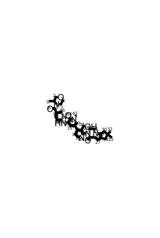 CC1COCCN1C(=O)c1ccc(Nc2cc(-c3ccnc(N4CCn5c(cc6c5CC(C)(C)C6)C4=O)c3CO)cn(C)c2=O)nc1